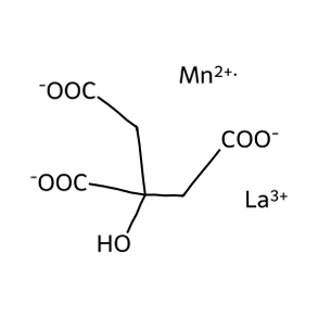 O=C([O-])CC(O)(CC(=O)[O-])C(=O)[O-].[La+3].[Mn+2]